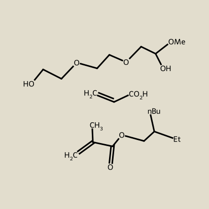 C=C(C)C(=O)OCC(CC)CCCC.C=CC(=O)O.COC(O)COCCOCCO